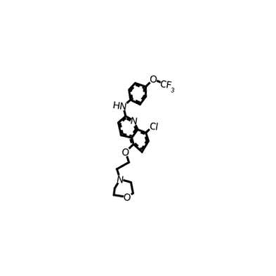 FC(F)(F)Oc1ccc(Nc2ccc3c(OCCN4CCOCC4)ccc(Cl)c3n2)cc1